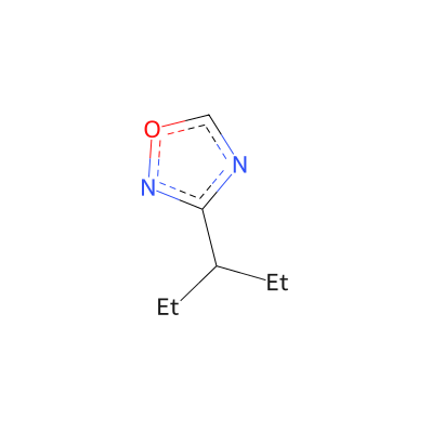 CCC(CC)c1ncon1